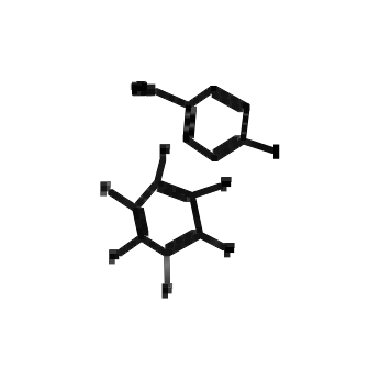 CC(C)(C)c1ccc(I)cc1.Fc1c(F)c(F)c(F)c(F)c1F